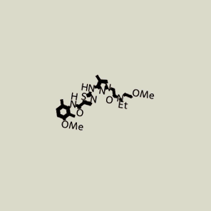 CCN(CCOC)C(=O)Cn1cc(C)c(Nc2ncc(C(=O)Nc3c(C)ccc(OC)c3C)s2)n1